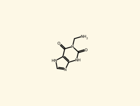 NCn1c(=O)[nH]c2nc[nH]c2c1=O